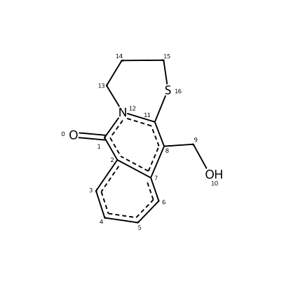 O=c1c2ccccc2c(CO)c2n1CCCS2